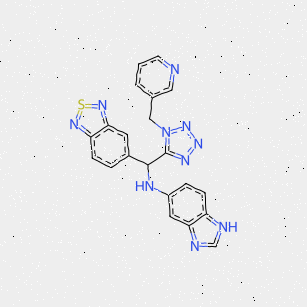 c1cncc(Cn2nnnc2C(Nc2ccc3[nH]cnc3c2)c2ccc3nsnc3c2)c1